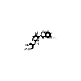 CN/C=C(\C=N)Nc1ncc(Cl)c(NCc2cc(C(F)(F)F)ccc2F)n1